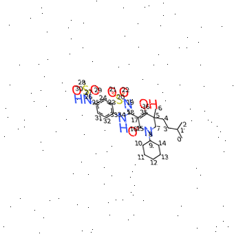 CC(C)CCC1(C)CN(C2CCCCC2)C(=O)C(C2=NS(=O)(=O)c3cc(NS(C)(=O)=O)ccc3N2)=C1O